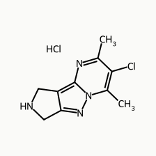 Cc1nc2c3c(nn2c(C)c1Cl)CNC3.Cl